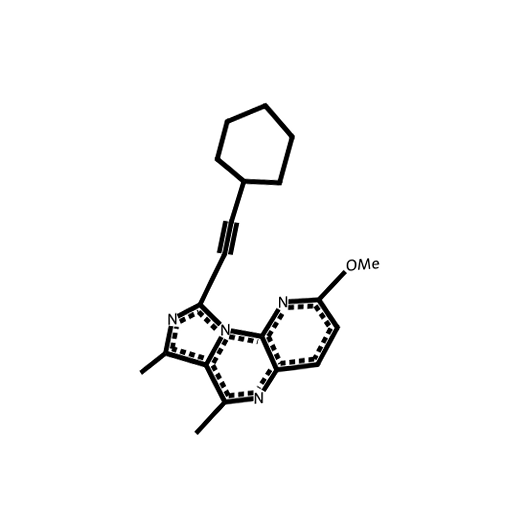 COc1ccc2nc(C)c3c(C)nc(C#CC4CCCCC4)n3c2n1